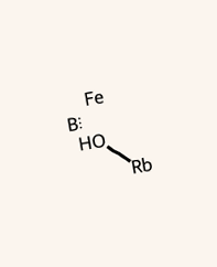 [B].[Fe].[OH][Rb]